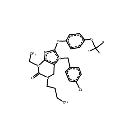 CCN1C(=O)N(CCCO)Cc2c1nc(Oc1ccc(OC(F)(F)F)cc1)n2Cc1ccc(Cl)cc1